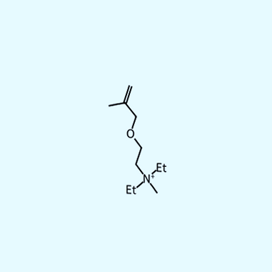 C=C(C)COCC[N+](C)(CC)CC